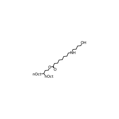 CCCCCCCCC(CCCCCCCC)CCOC(=O)CCCCCCCNCCCCO